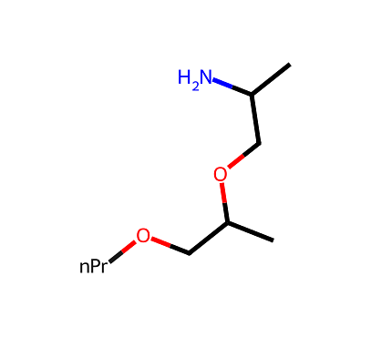 CCCOCC(C)OCC(C)N